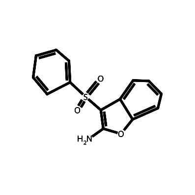 Nc1oc2ccccc2c1S(=O)(=O)c1ccccc1